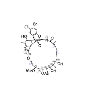 CO[C@H]1/C=C/O[C@@]2(C)Oc3c(C)c(O)c4c(=O)c(c5oc6cc(Br)c(Cl)cc6nc-5c4c3C2=O)NC(=O)/C(C)=C\C=C\[C@H](C)[C@H](O)[C@@H](C)[C@@H](O)[C@@H](C)[C@H](OC(C)=O)[C@@H]1C